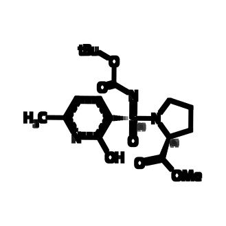 COC(=O)[C@@H]1CCCN1[S@@](=O)(=NC(=O)OC(C)(C)C)c1ccc(C)nc1O